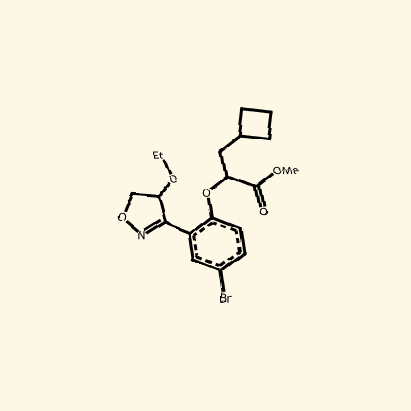 CCOC1CON=C1c1cc(Br)ccc1OC(CC1CCC1)C(=O)OC